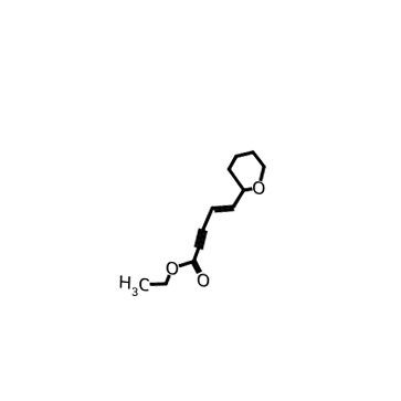 CCOC(=O)C#C/C=C/C1CCCCO1